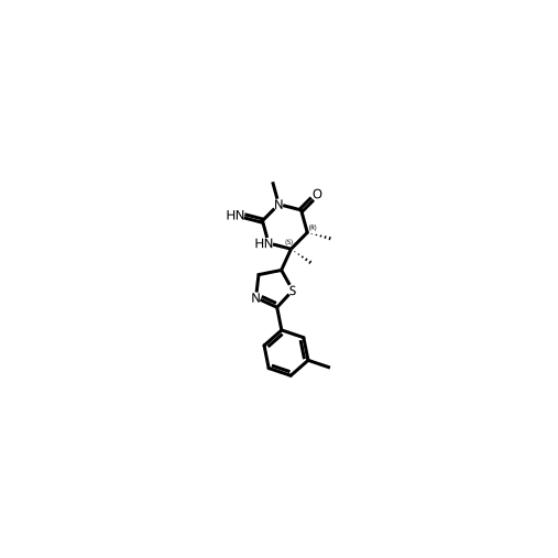 Cc1cccc(C2=NCC([C@@]3(C)NC(=N)N(C)C(=O)[C@@H]3C)S2)c1